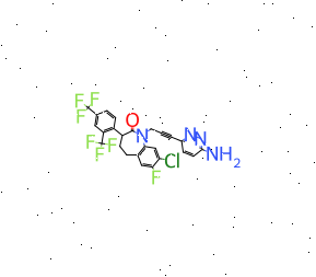 Nc1ccc(C#CCN2C(=O)C(c3ccc(C(F)(F)F)cc3C(F)(F)F)CCc3cc(F)c(Cl)cc32)nn1